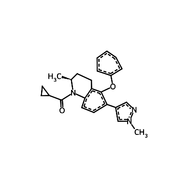 C[C@H]1CCc2c(ccc(-c3cnn(C)c3)c2Oc2ccccc2)N1C(=O)C1CC1